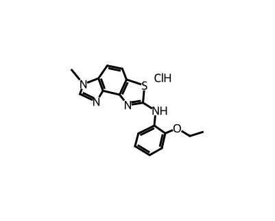 CCOc1ccccc1Nc1nc2c(ccc3c2ncn3C)s1.Cl